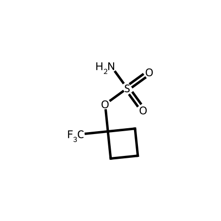 NS(=O)(=O)OC1(C(F)(F)F)CCC1